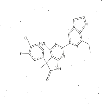 CCc1nc(-c2nc(N)c3c(n2)NC(=O)C3(C)c2ccc(Cl)c(F)c2)cn2ccnc12